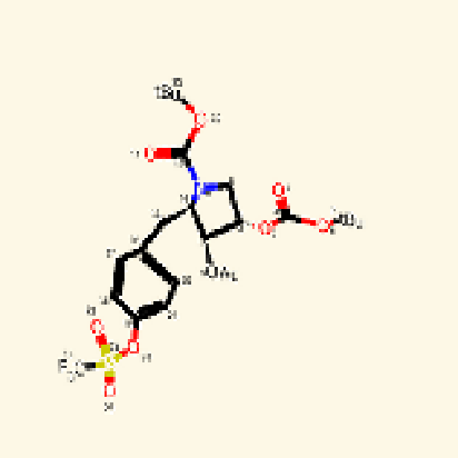 CC(=O)O[C@@H]1[C@@H](OC(=O)OC(C)(C)C)CN(C(=O)OC(C)(C)C)[C@@H]1Cc1ccc(OS(=O)(=O)C(F)(F)F)cc1